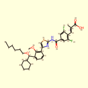 CCCCCCOC(c1cccc(-c2csc(NC(=O)c3cc(F)c(/C=C(\C)C(=O)O)c(F)c3)n2)c1OC)C1CCCCC1